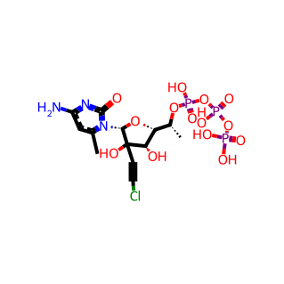 Cc1cc(N)nc(=O)n1[C@@H]1O[C@H]([C@@H](C)OP(=O)(O)OP(=O)(O)OP(=O)(O)O)[C@H](O)C1(O)C#CCl